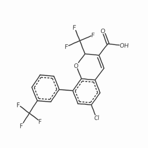 O=C(O)C1=Cc2cc(Cl)cc(-c3cccc(C(F)(F)F)c3)c2OC1C(F)(F)F